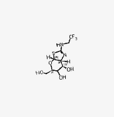 OC[C@H]1O[C@@H]2SC(NCC(F)(F)F)=N[C@@H]2[C@@H](O)C1O